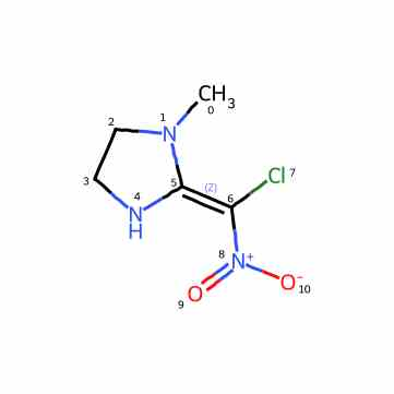 CN1CCN/C1=C(/Cl)[N+](=O)[O-]